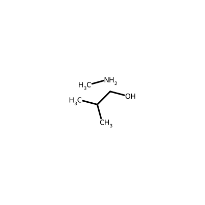 CC(C)CO.CN